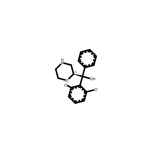 OC(c1ccccc1)(c1c(Cl)cccc1Cl)[C@@H]1CNCCO1